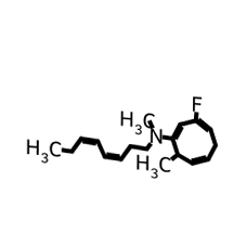 CC/C=C\C=C/CCN(C)/C1=C/C(F)=C\C/C=C\C1C